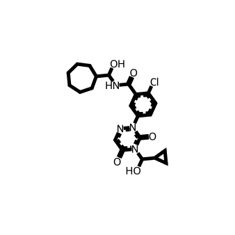 O=C(NC(O)C1CCCCCC1)c1cc(-n2ncc(=O)n(C(O)C3CC3)c2=O)ccc1Cl